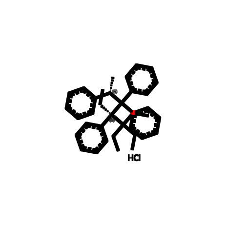 CCC(CC)(CC)[C@@](CC)(c1ccccc1)C(c1ccccc1)(c1ccccc1)[C@@H](C)c1ccccc1.Cl